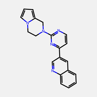 c1ccc2ncc(-c3ccnc(N4CCn5cccc5C4)n3)cc2c1